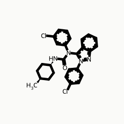 C[C@H]1CC[C@H](NC(=O)N(c2cccc(Cl)c2)c2c3ccccc3nn2-c2ccc(Cl)cc2)CC1